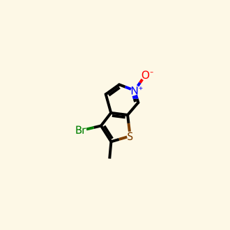 Cc1sc2c[n+]([O-])ccc2c1Br